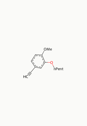 C#Cc1ccc(OC)c(OCCCCC)c1